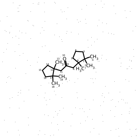 CC1(C)CCCC1(C)CC(=O)CC1(C)CCCC1(C)C